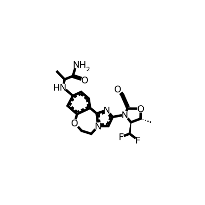 CC(Nc1ccc2c(c1)OCCn1cc(N3C(=C=O)O[C@H](C)[C@H]3C(F)F)nc1-2)C(N)=O